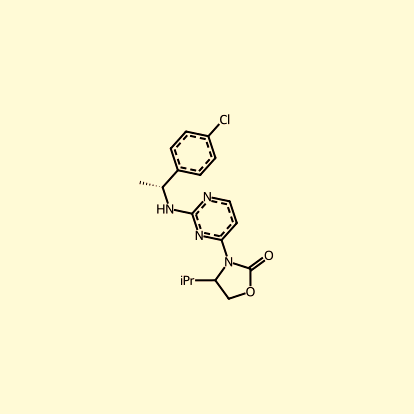 CC(C)C1COC(=O)N1c1ccnc(N[C@H](C)c2ccc(Cl)cc2)n1